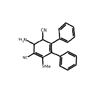 CSC1=C(C#N)C(N)C(C#N)C(c2ccccc2)=C1c1ccccc1